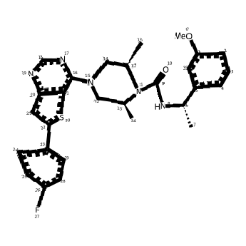 COc1cccc([C@H](C)NC(=O)N2[C@H](C)CN(c3ncnc4cc(-c5ccc(F)cc5)sc34)C[C@@H]2C)c1